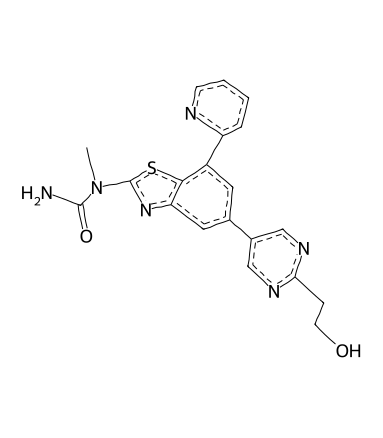 CN(C(N)=O)c1nc2cc(-c3cnc(CCO)nc3)cc(-c3ccccn3)c2s1